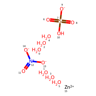 O.O.O.O.O.O.O=S(=O)([O-])O.O=[N+]([O-])[O-].[Zn+2]